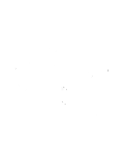 Cc1cc(C(C)Nc2ccccc2C(=O)O)c2oc(-c3ccccc3C#N)cc(=O)c2c1